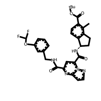 Cc1c(C(=O)OC(C)(C)C)ccc2c1CC[C@@H]2NC(=O)c1cc(C(=O)NCc2cccc(OC(F)F)c2)nc2ccnn12